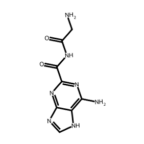 NCC(=O)NC(=O)c1nc(N)c2[nH]cnc2n1